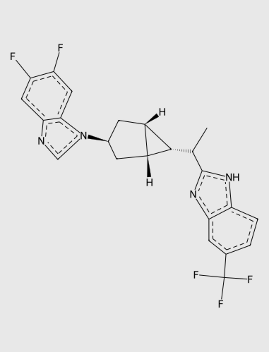 CC(c1nc2cc(C(F)(F)F)ccc2[nH]1)[C@@H]1[C@@H]2C[C@@H](n3cnc4cc(F)c(F)cc43)C[C@@H]21